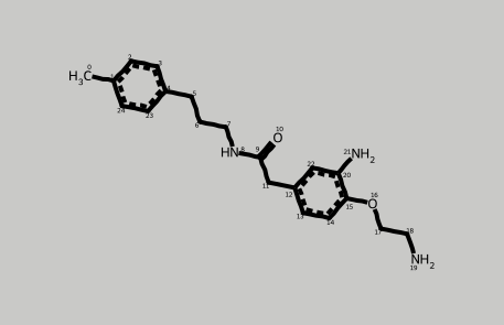 Cc1ccc(CCCNC(=O)Cc2ccc(OCCN)c(N)c2)cc1